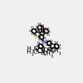 CC1(C)CCC(C)(C)c2cc(N(c3cc4c(c(-c5ccccc5)c3)C3(c5ccccc5S4)C4CC5CC6CC3C64C5)c3ccc4c(c3)C(C)(C)c3ccccc3-4)ccc21